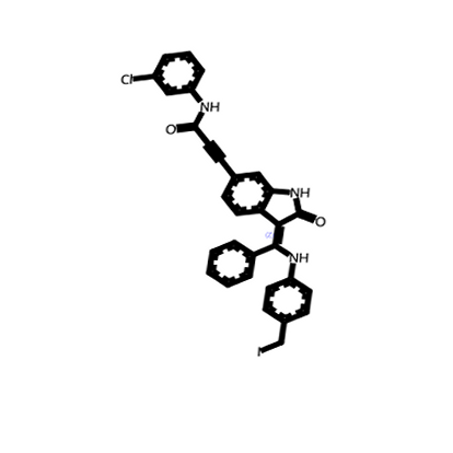 O=C(C#Cc1ccc2c(c1)NC(=O)/C2=C(\Nc1ccc(CI)cc1)c1ccccc1)Nc1cccc(Cl)c1